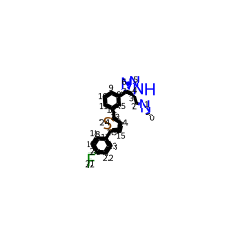 C=NCc1[nH]nnc1-c1cccc(-c2ccc(-c3ccc(F)cc3)s2)c1